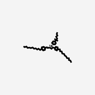 CCCCCCCCCCCCc1ccc(C=CC2=NN(c3ccc(C(C)(C)CCCCC)cc3)C(c3ccc(CCCCCCCCCCCC)cc3)C2)cc1